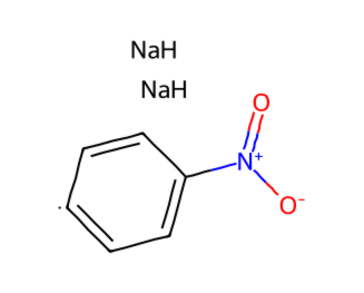 O=[N+]([O-])c1cc[c]cc1.[NaH].[NaH]